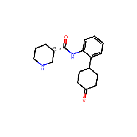 O=C1CCC(c2ccccc2NC(=O)[C@H]2CCCNC2)CC1